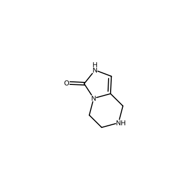 O=c1[nH]cc2n1CCNC2